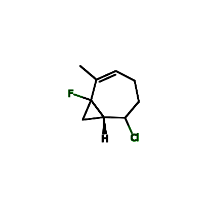 CC1=CCCC(Cl)[C@@H]2CC12F